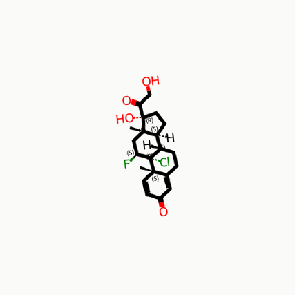 C[C@]12C=CC(=O)C=C1CC[C@H]1[C@@H]3CC[C@](O)(C(=O)CO)[C@@]3(C)C[C@H](F)[C@@]12Cl